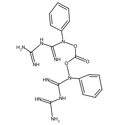 N=C(N)NC(=N)N(OC(=O)ON(C(=N)NC(=N)N)c1ccccc1)c1ccccc1